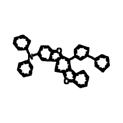 c1ccc(-c2cccc(-c3c4oc5ccc(N(c6ccccc6)c6ccccc6)cc5c4cc4oc5ccccc5c34)c2)cc1